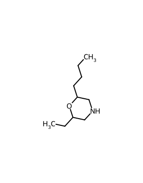 CCCCC1CNCC(CC)O1